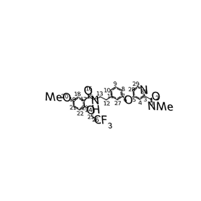 CNC(=O)c1cc(Oc2cccc(CCNC(=O)c3cc(OC)ccc3OCC(F)(F)F)c2)ccn1